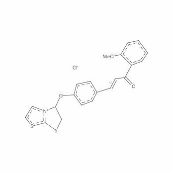 COc1ccccc1C(=O)/C=C/c1ccc(OC2CSc3scc[n+]32)cc1.[Cl-]